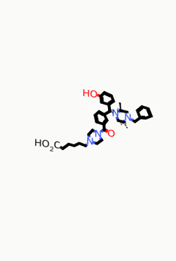 C[C@@H]1CN([C@@H](c2cccc(O)c2)c2cccc(C(=O)N3CCN(CCCCCC(=O)O)CC3)c2)[C@@H](C)CN1Cc1ccccc1